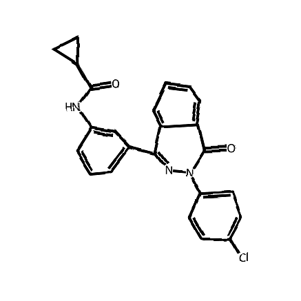 O=C(Nc1cccc(-c2nn(-c3ccc(Cl)cc3)c(=O)c3ccccc23)c1)C1CC1